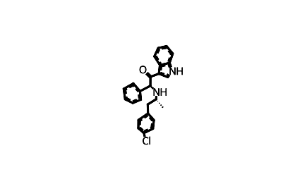 C[C@H](Cc1ccc(Cl)cc1)N[C@H](C(=O)c1c[nH]c2ccccc12)c1ccccc1